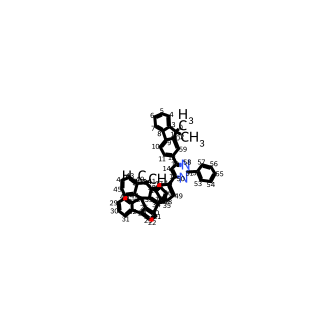 CC1(C)c2ccccc2-c2ccc(-c3cc(-c4ccc(-c5cccc6c5C5(c7ccccc7-6)c6ccccc6C(C)(C)c6ccccc65)cc4)nc(-c4ccccc4)n3)cc21